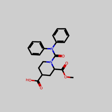 COC(=O)C1CC(C(=O)O)CCN1C(=O)N(c1ccccc1)c1ccccc1